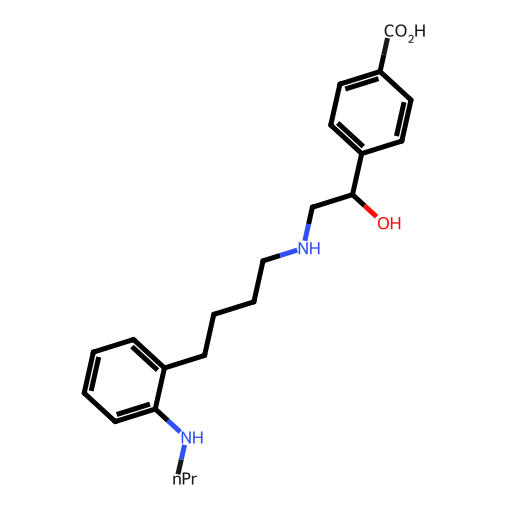 CCCNc1ccccc1CCCCNCC(O)c1ccc(C(=O)O)cc1